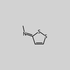 CN=c1ccss1